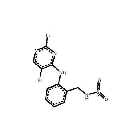 O=[SH](=O)NCc1ccccc1Nc1nc(Cl)ncc1Br